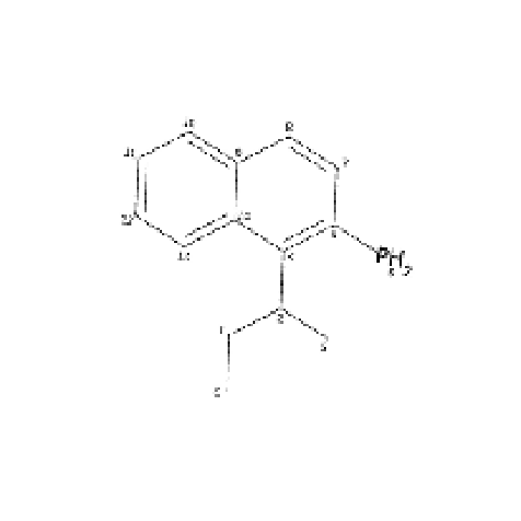 CCC(C)c1c(P)ccc2ccccc12